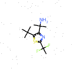 CC(C)(C)c1sc(C(C)(F)F)nc1C(C)(C)N